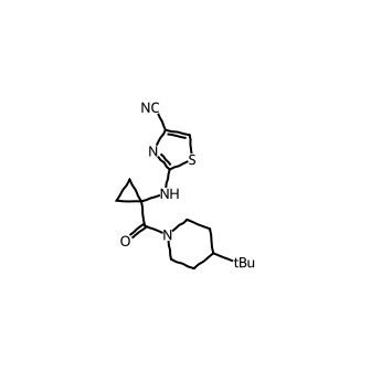 CC(C)(C)C1CCN(C(=O)C2(Nc3nc(C#N)cs3)CC2)CC1